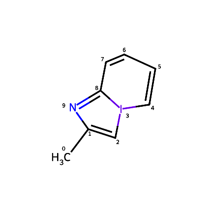 CC1=CI2C=CC=CC2=N1